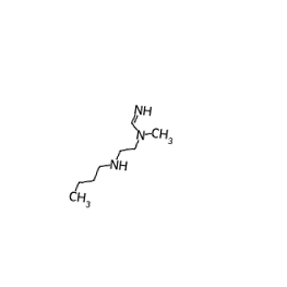 CCCCNCCN(C)C=N